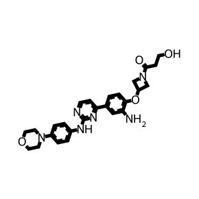 Nc1cc(-c2ccnc(Nc3ccc(N4CCOCC4)cc3)n2)ccc1OC1CN(C(=O)CCO)C1